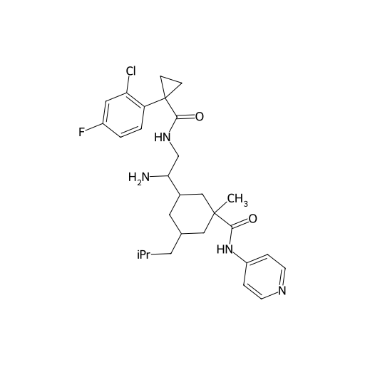 CC(C)CC1CC(C(N)CNC(=O)C2(c3ccc(F)cc3Cl)CC2)CC(C)(C(=O)Nc2ccncc2)C1